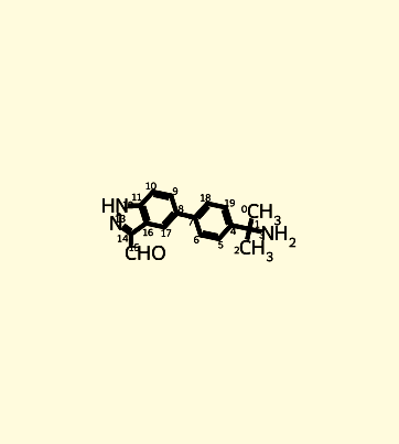 CC(C)(N)c1ccc(-c2ccc3[nH]nc(C=O)c3c2)cc1